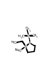 CO[Si]1(CO)CCCN1[Si](C)(C)C